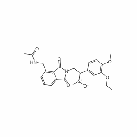 CCOc1cc(C(CN2C(=O)c3cccc(CNC(C)=O)c3C2=O)[S+](C)[O-])ccc1OC